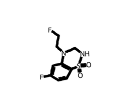 O=S1(=O)NCN(CCF)c2cc(F)ccc21